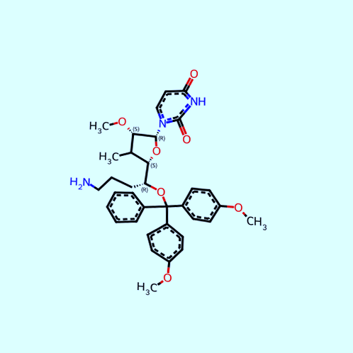 COc1ccc(C(O[C@H](CCCN)[C@H]2O[C@@H](n3ccc(=O)[nH]c3=O)[C@@H](OC)C2C)(c2ccccc2)c2ccc(OC)cc2)cc1